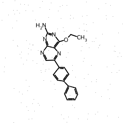 CCOc1nc(N)nc2ncc(-c3ccc(-c4ccccc4)cc3)nc12